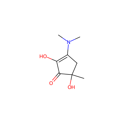 CN(C)C1=C(O)C(=O)C(C)(O)C1